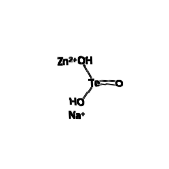 O=[Te](O)O.[Na+].[Zn+2]